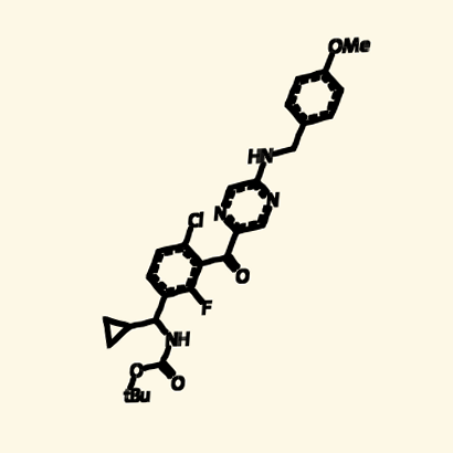 COc1ccc(CNc2cnc(C(=O)c3c(Cl)ccc(C(NC(=O)OC(C)(C)C)C4CC4)c3F)cn2)cc1